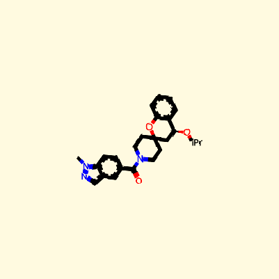 CC(C)O[C@H]1CC2(CCN(C(=O)c3ccc4c(cnn4C)c3)CC2)Oc2ccccc21